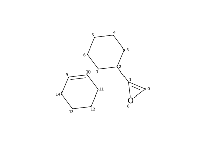 C1=C(C2CCCCC2)O1.C1=CCCCC1